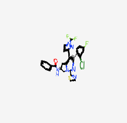 O=C(N[C@H]1CC2=C(c3ccn(C(F)F)n3)[C@H](c3ccc(F)cc3Cl)N=C(c3nccs3)N2C1)c1ccccc1